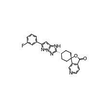 O=C1O[C@]2(CC[C@@H](c3nn4nc(-c5cccc(F)c5)cc4[nH]3)CC2)c2cnccc21